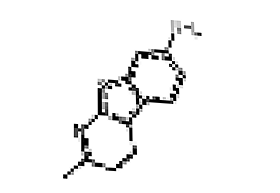 CC1=Nc2sc3cc(N)ccc3c2CC1